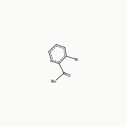 CCC(C)C(=O)c1ncccc1Br